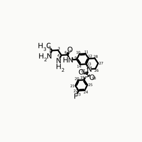 CC(N)CC(N)C(=O)Nc1ccc2c(c1)N(S(=O)(=O)c1ccc(F)cc1)CCC2